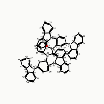 O=c1n(-c2cc(-n3c4ccccc4c4ccccc43)ccc2-n2c3ccccc3c3ccccc32)c2ccccc2n1C1CC(n2c3ccccc3c3ccccc32)=CC=C1n1c2ccccc2c2ccccc21